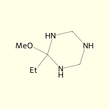 CCC1(OC)NCNCN1